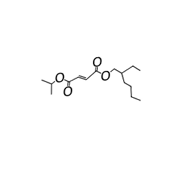 CCCCC(CC)COC(=O)/C=C/C(=O)OC(C)C